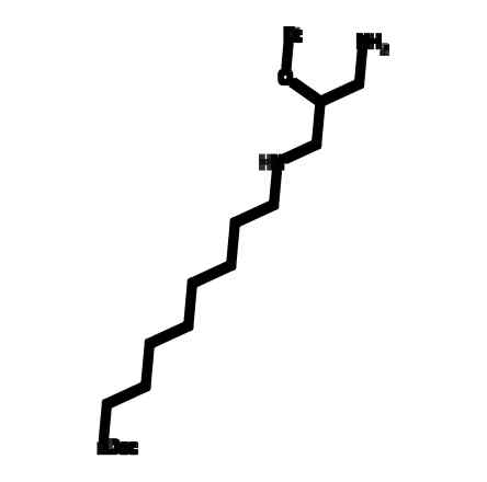 CCCCCCCCCCCCCCCCCCNCC(CN)OCC